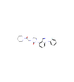 O=C(CN1CCN(c2cccc3c2cnn3-c2ccccc2F)C1=O)N1CCCCC1